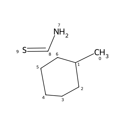 CC1CCCCC1.NC=S